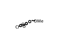 COCC=C[C@H]1CC[C@H](c2ccc(C(=O)Oc3ccc(Cl)cc3)cc2)CC1